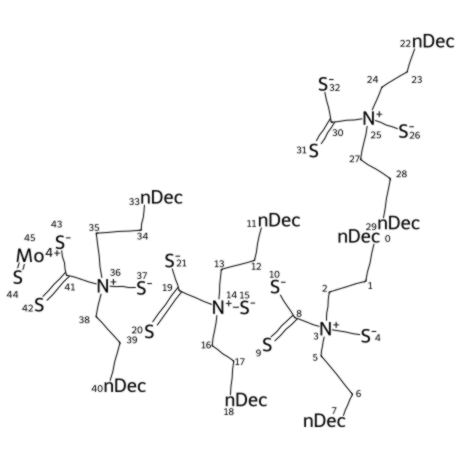 CCCCCCCCCCCC[N+]([S-])(CCCCCCCCCCCC)C(=S)[S-].CCCCCCCCCCCC[N+]([S-])(CCCCCCCCCCCC)C(=S)[S-].CCCCCCCCCCCC[N+]([S-])(CCCCCCCCCCCC)C(=S)[S-].CCCCCCCCCCCC[N+]([S-])(CCCCCCCCCCCC)C(=S)[S-].[S]=[Mo+4]